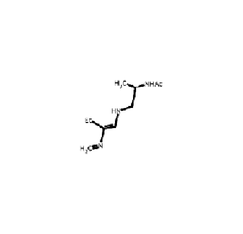 C=N/C(=C/NC[C@@H](C)NC(C)=O)CC